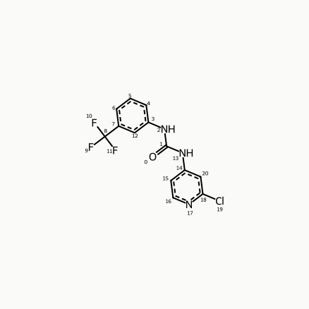 O=C(Nc1cccc(C(F)(F)F)c1)Nc1ccnc(Cl)c1